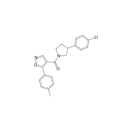 Cc1ccc(-c2oncc2C(=O)N2CCC(c3ccc(Cl)cc3)C2)cc1